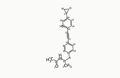 CC(=O)NC(C)Cc1ccc(C#Cc2ccc(C3CC3)cn2)cc1